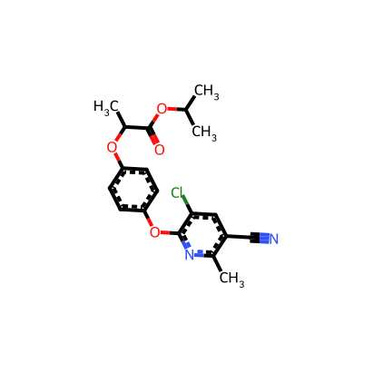 Cc1nc(Oc2ccc(OC(C)C(=O)OC(C)C)cc2)c(Cl)cc1C#N